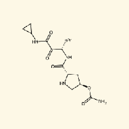 CCC[C@H](NC(=O)[C@@H]1C[C@@H](OC(N)=O)CN1)C(=O)C(=O)NC1CC1